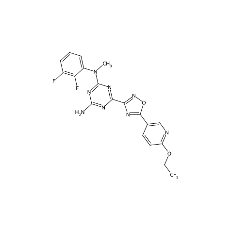 CN(c1nc(N)nc(-c2noc(-c3ccc(OCC(F)(F)F)nc3)n2)n1)c1cccc(F)c1F